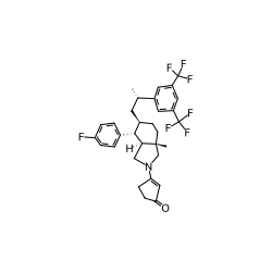 C[C@@H](C[C@H]1CC[C@]2(C)CN(C3=CC(=O)CC3)C[C@H]2[C@@H]1c1ccc(F)cc1)c1cc(C(F)(F)F)cc(C(F)(F)F)c1